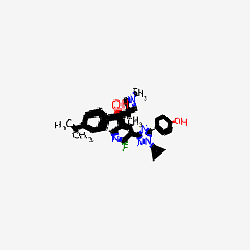 CC(C)c1ccc(C(O)(c2cnc(F)c(-c3nc([C@H]4CC[C@H](O)CC4)n(C4CC4)n3)c2)C2(C)CN(C)C2)cc1